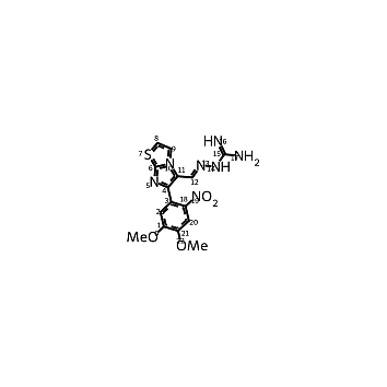 COc1cc(-c2nc3sccn3c2/C=N/NC(=N)N)c([N+](=O)[O-])cc1OC